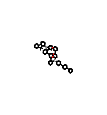 CC1(C)c2ccccc2-c2cccc(-n3c4ccccc4c4c(-c5cccc(-c6ccccc6N(c6ccc(-c7ccccc7)cc6)c6ccc(-c7ccc(-c8ccccc8)cc7)cc6)c5)cccc43)c21